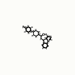 OC(CC1c2ccccc2-n2cncc21)C1CCC(c2ccc(F)cc2)CC1